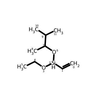 C=C[SiH](OCC)OC(C)C(C)C